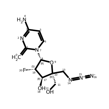 C=C1N=C(N)C=CN1[C@@H]1O[C@@](CO)(CN=[N+]=[N-])[C@@H](O)[C@@H]1F